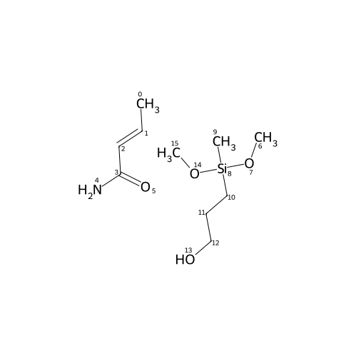 CC=CC(N)=O.CO[Si](C)(CCCO)OC